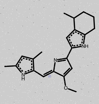 COC1=CC(c2cc3c([nH]2)CCCC3C)=N/C1=C\c1[nH]c(C)cc1C